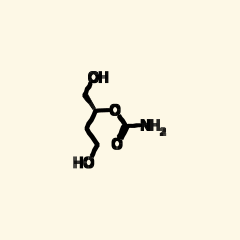 NC(=O)O[C@H](CO)CCO